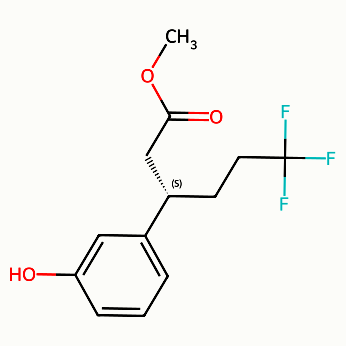 COC(=O)C[C@H](CCC(F)(F)F)c1cccc(O)c1